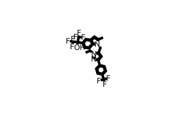 CCn1nc(-c2ccc(C(F)(F)F)cc2)cc1Cn1c(C)cc2cc(C(O)(C(F)(F)F)C(F)(F)F)ccc21